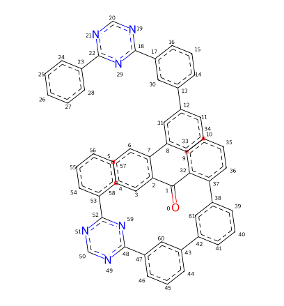 O=C(c1ccccc1-c1cccc(-c2cccc(-c3ncnc(-c4ccccc4)n3)c2)c1)c1ccccc1-c1cccc(-c2cccc(-c3ncnc(-c4ccccc4)n3)c2)c1